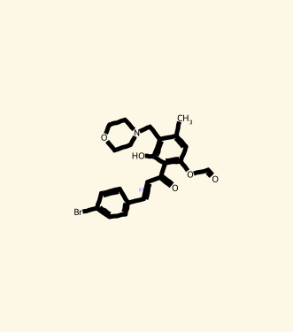 Cc1cc(OC=O)c(C(=O)/C=C/c2ccc(Br)cc2)c(O)c1CN1CCOCC1